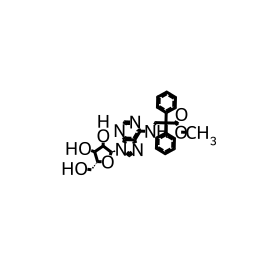 COC(=O)C(CNc1ncnc2c1ncn2[C@@H]1O[C@H](CO)C(O)C1O)(c1ccccc1)c1ccccc1